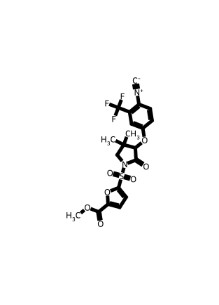 [C-]#[N+]c1ccc(OC2C(=O)N(S(=O)(=O)c3ccc(C(=O)OC)o3)CC2(C)C)cc1C(F)(F)F